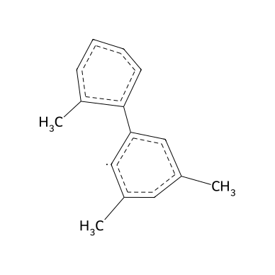 Cc1[c]c(-c2ccccc2C)cc(C)c1